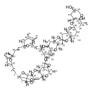 C=C1C[C@@H]2CC[C@@]34C[C@H]5OC6C(O3)[C@H]3O[C@H](CC[C@@H]3O[C@H]6C5O4)CC(=O)O[C@@H]3[C@@H](C)[C@@H]4O[C@@H]5C[C@]6(C[C@@H]7O[C@]8(C[C@H](C)[C@@H]9OC[C@H](O)C[C@@H]9O8)C[C@H](C)[C@@H]7O6)O[C@@H]5C[C@@H]4O[C@H]3C[C@H]3O[C@@H](CC[C@@H]1O2)C[C@@H](C)C3=C